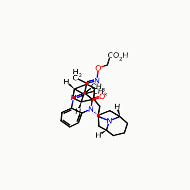 C/C(=N\OCC(=O)O)c1nc2ccccc2n([C@H]2C[C@H]3CCC[C@@H](C2)N3CCC2CC[C@H]3C[C@@H]2C3(C)C)c1=O